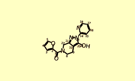 O=C(c1ccco1)N1CCc2c(nn(-c3ccccn3)c2O)C1